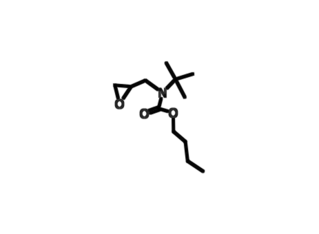 CCCCOC(=O)N(CC1CO1)C(C)(C)C